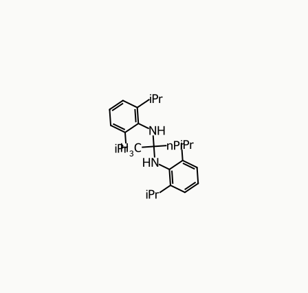 CCCC(C)(Nc1c(C(C)C)cccc1C(C)C)Nc1c(C(C)C)cccc1C(C)C